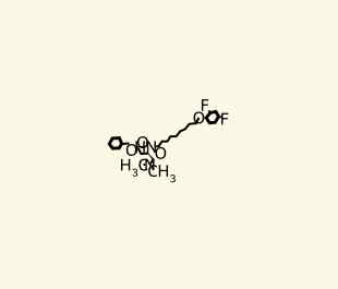 CN(C)C[C@@H](CC(=O)OCc1ccccc1)NC(=O)CCCCCCCCOc1ccc(F)cc1F